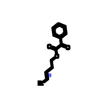 CC/C=C/CCOC(=O)C(=O)c1ccccc1